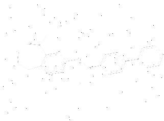 CC1CNCCc2ccc(NCc3ccc(-c4ccccc4)cc3)cc21.Cl